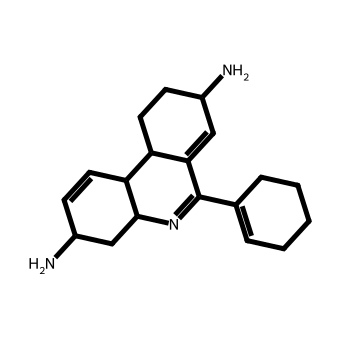 NC1C=C2C(C3=CCCCC3)=NC3CC(N)C=CC3C2CC1